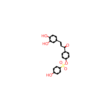 O=C(C=Cc1ccc(O)c(O)c1)c1ccc(OS(=O)(=O)c2ccc(O)cc2)cc1